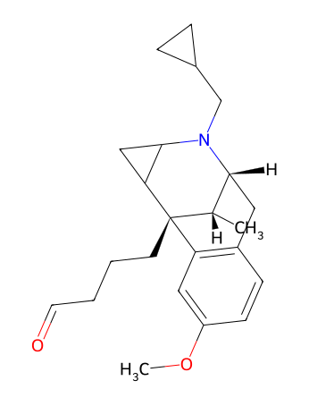 COc1ccc2c(c1)[C@]1(CCCC=O)C3CC3N(CC3CC3)[C@H](C2)[C@@H]1C